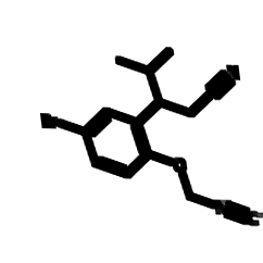 [C-]#[N+]COc1ccc(Br)cc1C(CC#N)C(C)C